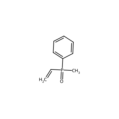 C=CP(C)(=O)c1ccccc1